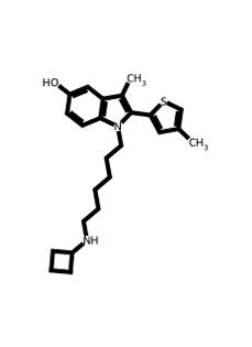 Cc1csc(-c2c(C)c3cc(O)ccc3n2CCCCCCNC2CCC2)c1